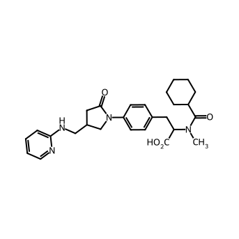 CN(C(=O)C1CCCCC1)C(Cc1ccc(N2CC(CNc3ccccn3)CC2=O)cc1)C(=O)O